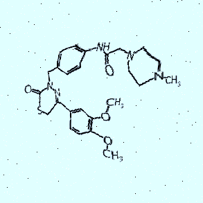 COc1ccc(C2=NN(Cc3ccc(NC(=O)CN4CCN(C)CC4)cc3)C(=O)SC2)cc1OC